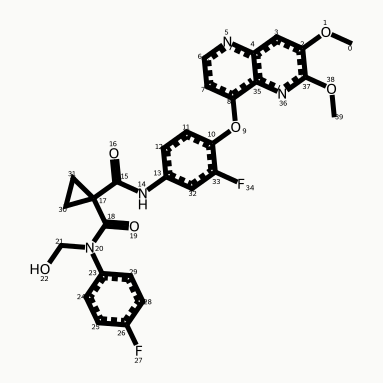 COc1cc2nccc(Oc3ccc(NC(=O)C4(C(=O)N(CO)c5ccc(F)cc5)CC4)cc3F)c2nc1OC